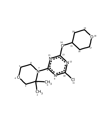 CC1(C)COCCN1c1nc(Cl)nc(OC2CCOCC2)n1